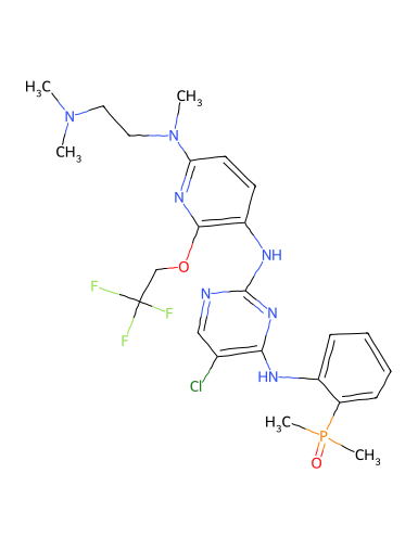 CN(C)CCN(C)c1ccc(Nc2ncc(Cl)c(Nc3ccccc3P(C)(C)=O)n2)c(OCC(F)(F)F)n1